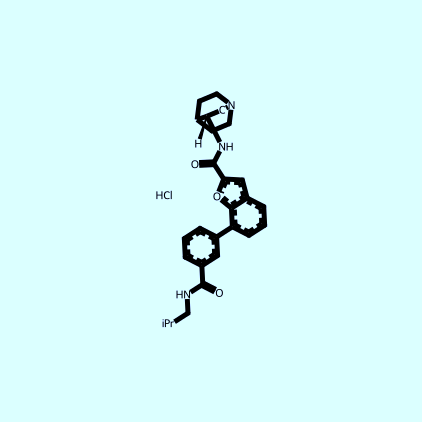 CC(C)CNC(=O)c1cccc(-c2cccc3cc(C(=O)N[C@H]4CN5CCC4CC5)oc23)c1.Cl